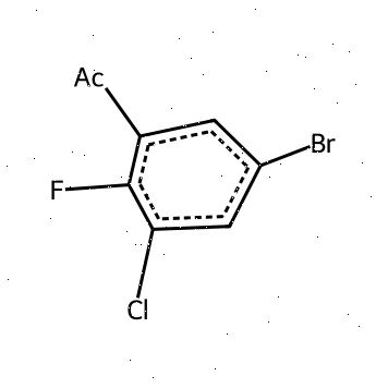 CC(=O)c1cc(Br)cc(Cl)c1F